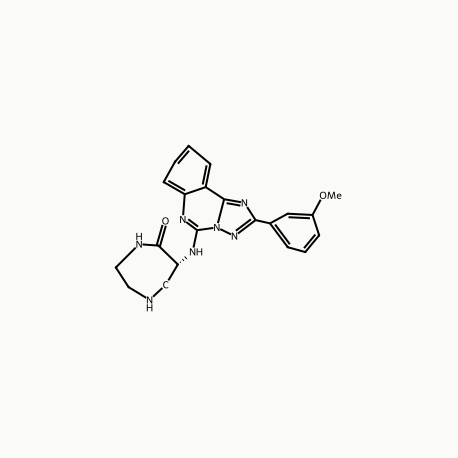 COc1cccc(-c2nc3c4ccccc4nc(N[C@@H]4CNCCNC4=O)n3n2)c1